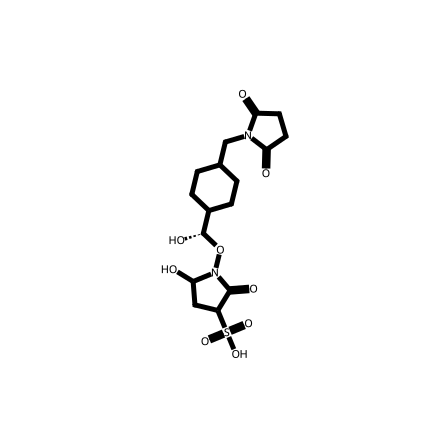 O=C1CCC(=O)N1CC1CCC([C@@H](O)ON2C(=O)C(S(=O)(=O)O)CC2O)CC1